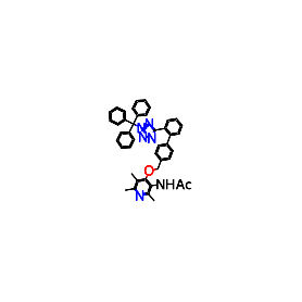 CC(=O)Nc1c(C)nc(C)c(C)c1OCc1ccc(-c2ccccc2-c2nnn(C(c3ccccc3)(c3ccccc3)c3ccccc3)n2)cc1